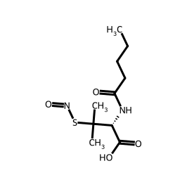 CCCCC(=O)N[C@H](C(=O)O)C(C)(C)SN=O